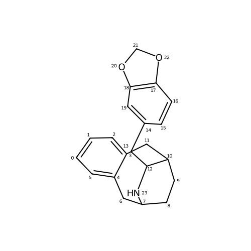 c1ccc2c(c1)CC1CCC(C2)C(Cc2ccc3c(c2)OCO3)N1